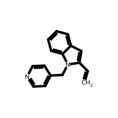 C=Cc1cc2ccccc2n1Cc1ccncc1